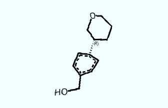 OCc1ccc([C@H]2CCCOC2)cc1